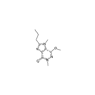 CCCc1nc2c(=O)n(C)nc(OC)c2n1C